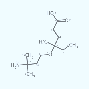 CCC(C)(CCC(=O)O)OCCC(C)(C)N